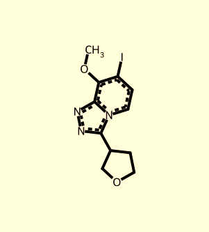 COc1c(I)ccn2c(C3CCOC3)nnc12